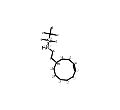 CC(C)(C)[Si](C)(C)NCCC1CC/C=C\CCCCC1